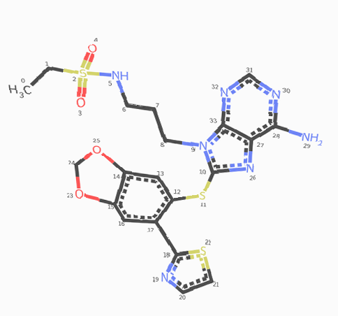 CCS(=O)(=O)NCCCn1c(Sc2cc3c(cc2-c2nccs2)OCO3)nc2c(N)ncnc21